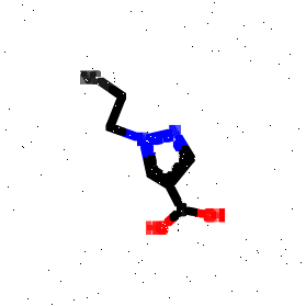 N#CCCn1cc(B(O)O)cn1